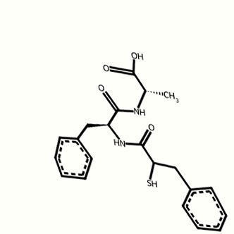 C[C@H](NC(=O)[C@H](Cc1ccccc1)NC(=O)C(S)Cc1ccccc1)C(=O)O